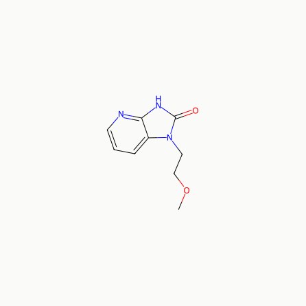 COCCn1c(=O)[nH]c2ncccc21